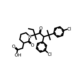 CCC(C)(C(=O)C(c1cccc(Cl)c1)C(C)(C)c1ccc(Cl)cc1)N1CCCC(CC(=O)O)C1=O